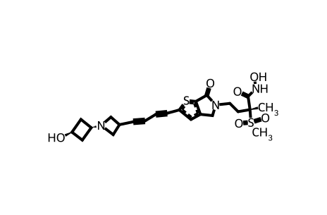 C[C@@](CCN1Cc2cc(C#CC#CC3CN([C@H]4C[C@H](O)C4)C3)sc2C1=O)(C(=O)NO)S(C)(=O)=O